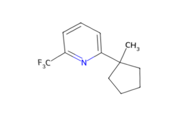 CC1(c2cccc(C(F)(F)F)n2)CCCC1